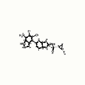 Nc1c(F)c(Cl)c(-c2ccc3nc(NC(=O)[C@@H]4C[C@@H]4F)sc3n2)c2cn[nH]c12